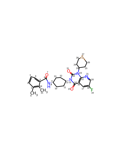 Cc1cccc(C(=O)N[C@H]2CC[C@@H](n3c(=O)c4cc(F)cnc4n(C4CCSCC4)c3=O)CC2)c1C